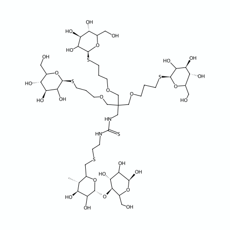 C[C@@H]1C(CSCCNC(=S)NCC(COCCCS[C@@H]2OC(CO)[C@@H](O)[C@H](O)C2O)(COCCCS[C@@H]2OC(CO)[C@@H](O)[C@H](O)C2O)COCCCS[C@@H]2OC(CO)[C@@H](O)[C@H](O)C2O)O[C@H](O[C@@H]2C(CO)O[C@H](O)C(O)[C@H]2O)C(O)[C@H]1O